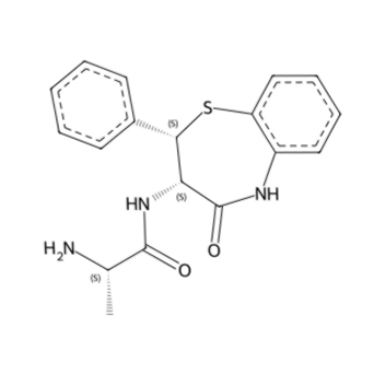 C[C@H](N)C(=O)N[C@H]1C(=O)Nc2ccccc2S[C@H]1c1ccccc1